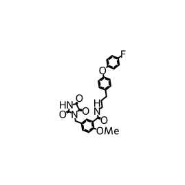 COc1ccc(CN2C(=O)NC(=O)C2=O)cc1C(=O)NCCCc1ccc(Oc2ccc(F)cc2)cc1